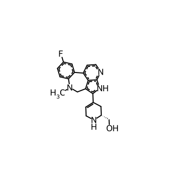 CN1Cc2c(C3=CCN[C@@H](CO)C3)[nH]c3nccc(c23)-c2cc(F)ccc21